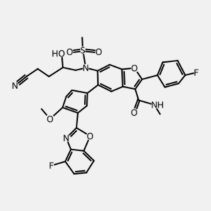 CNC(=O)c1c(-c2ccc(F)cc2)oc2cc(N(CC(O)CCC#N)S(C)(=O)=O)c(-c3ccc(OC)c(-c4nc5c(F)cccc5o4)c3)cc12